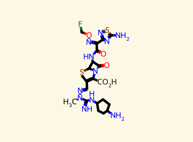 CN(N=CC1=C(C(=O)O)N2C(=O)C(NC(=O)C(=NOCF)c3nsc(N)n3)C2SC1)C(=N)NC1CCC(N)CC1